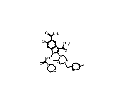 C[C@@H]1CN(Cc2ccc(F)cc2)[C@@H](C)CN1c1c(C(=O)C(=O)O)c2cc(C(N)=O)c(Cl)cc2n1C.NC(=O)N1CCOCC1